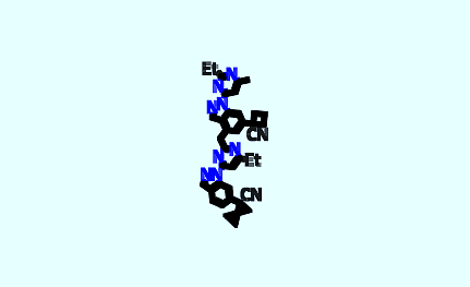 CCc1cc(-n2ncc3ccc([C@]4(C#N)CC45CC5)cc32)nc(Cc2cc(C3(C#N)CCC3)cc3c2cnn3-c2cc(C)nc(CC)n2)n1